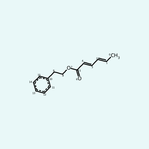 C/C=C/C=C/C(=O)OCCc1ccccc1